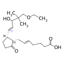 CCOCC(C)(C)C(O)/C=C/[C@H]1CCC(=O)[C@H]1CC=CCCCC(=O)O